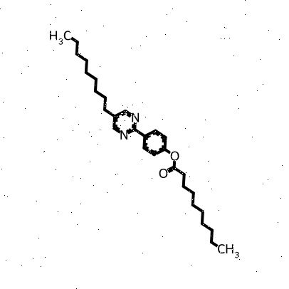 CCCCCCCCCC(=O)Oc1ccc(-c2ncc(CCCCCCCCC)cn2)cc1